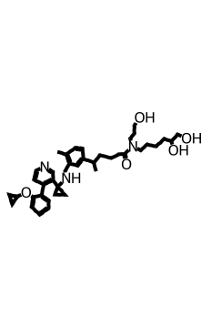 Cc1ccc(C(C)CCCC(=O)N(CCCO)CCCCC(O)CO)cc1CNC1(c2cnccc2-c2ccccc2OC2CC2)CC1